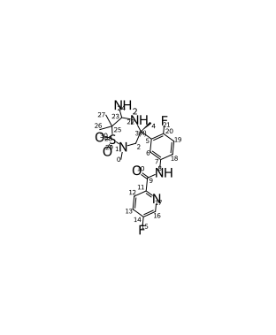 CN1C[C@@](C)(c2cc(NC(=O)c3ccc(F)cn3)ccc2F)NC(N)C(C)(C)S1(=O)=O